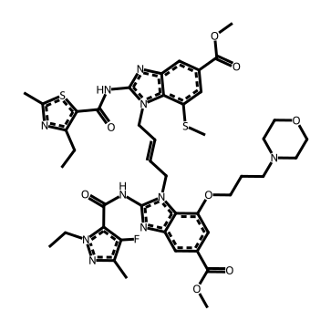 CCc1nc(C)sc1C(=O)Nc1nc2cc(C(=O)OC)cc(SC)c2n1C/C=C/Cn1c(NC(=O)c2c(F)c(C)nn2CC)nc2cc(C(=O)OC)cc(OCCCN3CCOCC3)c21